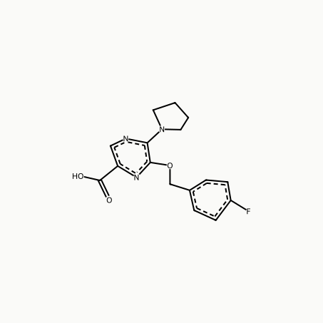 O=C(O)c1cnc(N2CCCC2)c(OCc2ccc(F)cc2)n1